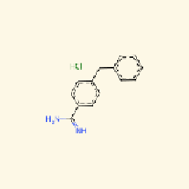 Cl.N=C(N)c1ccc(Cc2ccccc2)cc1